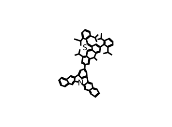 CC(C)c1cccc(C(C)C)c1-c1cc2c3c(sc(-c4c(C(C)C)cccc4C(C)C)c3c1)-c1c(C(C)C)cc(-c3cc4c5cc6ccccc6cc5n5c6cc7ccccc7cc6c(c3)c45)cc1C2C